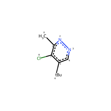 Cc1nncc(C(C)(C)C)c1Cl